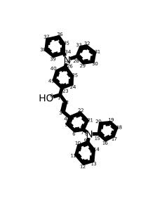 OC(C=Cc1ccc(N(c2ccccc2)c2ccccc2)cc1)c1ccc(N(c2ccccc2)c2ccccc2)cc1